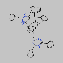 c1ccc(-c2nc(-c3ccccc3)nc(-c3ccc(-c4nc(-c5ccccc5)nc5c4C4(c6ccccc6-c6ccccc64)c4ccccc4-5)cc3)n2)cc1